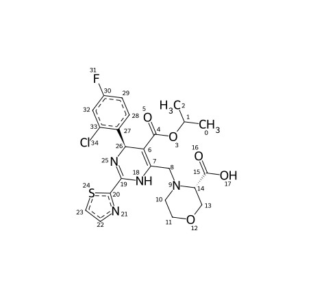 CC(C)OC(=O)C1=C(CN2CCOC[C@H]2C(=O)O)NC(c2nccs2)=N[C@H]1c1ccc(F)cc1Cl